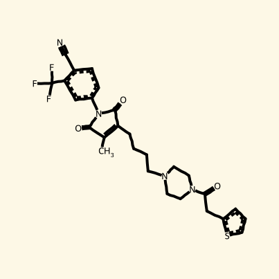 CC1=C(CCCCN2CCN(C(=O)Cc3cccs3)CC2)C(=O)N(c2ccc(C#N)c(C(F)(F)F)c2)C1=O